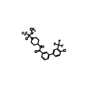 COP(C)(=O)N1CCC(NC(=O)c2cccc(-c3ccc(Cl)c(C(F)(F)F)c3)c2)CC1